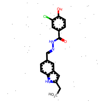 O=C(O)Cc1cc2cc(C=NNC(=O)c3ccc(O)c(Cl)c3)ccc2[nH]1